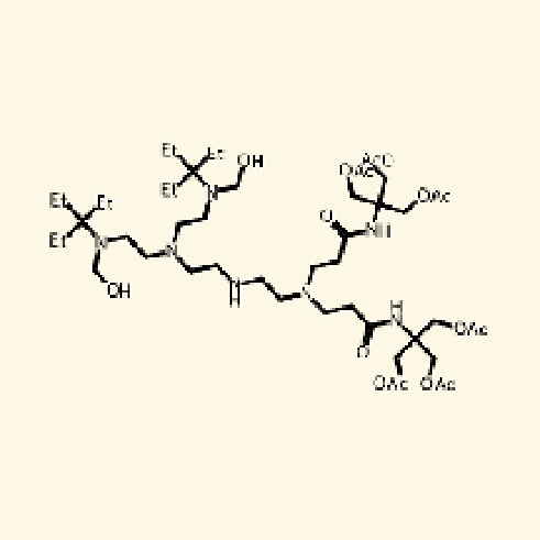 CCC(CC)(CC)N(CO)CCN(CCNCCN(CCC(=O)NC(COC(C)=O)(COC(C)=O)COC(C)=O)CCC(=O)NC(COC(C)=O)(COC(C)=O)COC(C)=O)CCN(CO)C(CC)(CC)CC